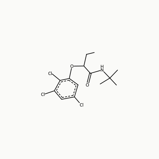 CCC(Oc1cc(Cl)cc(Cl)c1Cl)C(=O)NC(C)(C)C